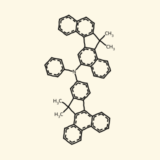 CC1(C)c2ccc3ccccc3c2-c2cc(N(c3ccccc3)c3ccc4c(c3)C(C)(C)c3c-4c4ccccc4c4ccccc34)c3ccccc3c21